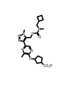 Cc1nc(-c2nnn(C)c2COC(=O)N(C)CC2CCC2)cnc1OC1CCC(C(=O)O)C1